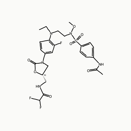 CCN(CCN(OC)S(=O)(=O)c1ccc(NC(C)=O)cc1)c1ccc(N2C[C@H](CNC(=O)C(F)F)OC2=O)cc1F